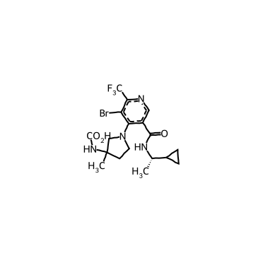 C[C@H](NC(=O)c1cnc(C(F)(F)F)c(Br)c1N1CCC(C)(NC(=O)O)C1)C1CC1